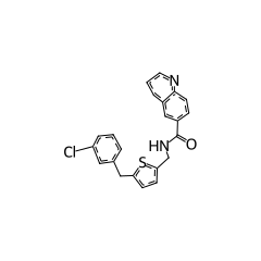 O=C(NCc1ccc(Cc2cccc(Cl)c2)s1)c1ccc2ncccc2c1